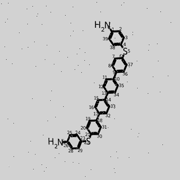 Nc1ccc(Sc2ccc(-c3ccc(-c4ccc(-c5ccc(Sc6ccc(N)cc6)cc5)cc4)cc3)cc2)cc1